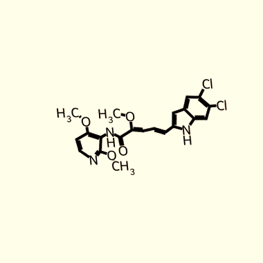 CO/C(=C\C=C\c1cc2cc(Cl)c(Cl)cc2[nH]1)C(=O)Nc1c(OC)ccnc1OC